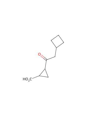 O=C(O)C1CC1C(=O)CC1CCC1